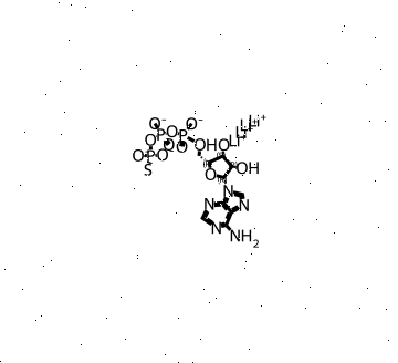 Nc1ncnc2c1ncn2[C@@H]1O[C@H](COP(=O)([O-])OP(=O)([O-])OP([O-])([O-])=S)[C@@H](O)[C@H]1O.[Li+].[Li+].[Li+].[Li+]